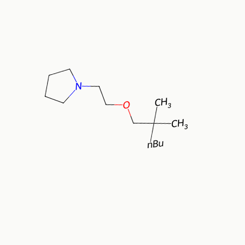 CCCCC(C)(C)COCCN1CCCC1